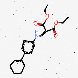 CCOC(=O)C(=CNc1ccc(C2=CCCCC2)cc1)C(=O)OCC